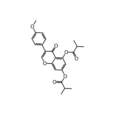 COc1ccc(-c2coc3cc(OC(=O)C(C)C)cc(OC(=O)C(C)C)c3c2=O)cc1